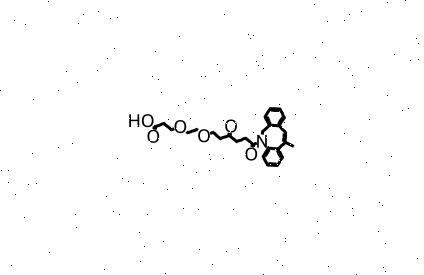 C/C1=C/c2ccccc2CN(C(=O)CCC(=O)CCOCCOCCC(=O)O)c2ccccc21